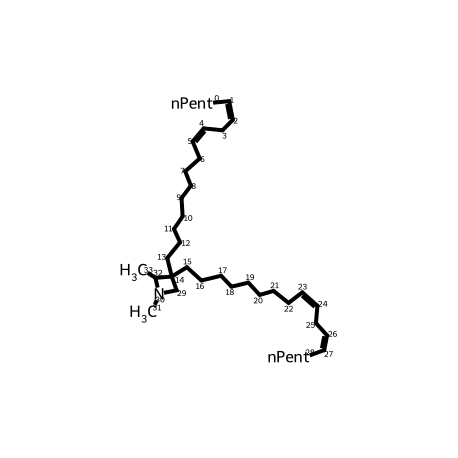 CCCCC/C=C\C/C=C\CCCCCCCCC1(CCCCCCCC/C=C\C/C=C\CCCCC)CN(C)C1C